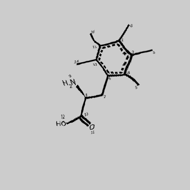 Cc1c(C)c(C)c(C[C@H](N)C(=O)O)c(C)c1C